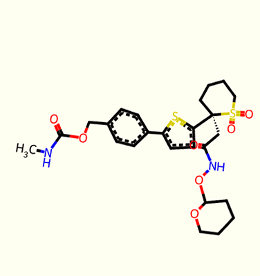 CNC(=O)OCc1ccc(-c2ccc([C@@]3(CC(=O)NOC4CCCCO4)CCCCS3(=O)=O)s2)cc1